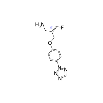 NC/C(=C/F)COc1ccc(-n2ncnn2)cc1